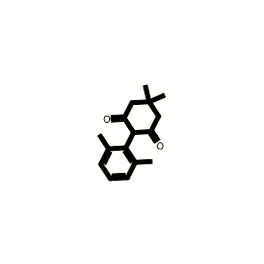 Cc1cccc(C)c1C1C(=O)CC(C)(C)CC1=O